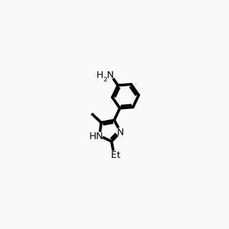 CCc1nc(-c2cccc(N)c2)c(C)[nH]1